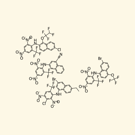 CCc1ccc2c(Nc3c(C(F)(F)F)cc([N+](=O)[O-])c(Cl)c3[N+](=O)[O-])cc(Br)cc2c1.N#Cc1cc(Nc2c([N+](=O)[O-])cc([N+](=O)[O-])cc2C(F)(F)F)cc2ccccc12.O=[N+]([O-])c1cc([N+](=O)[O-])c(Nc2ccc(OC(F)(F)F)c3ccc(Br)cc23)c(C(F)(F)F)c1.O=[N+]([O-])c1cc([N+](=O)[O-])c(Nc2ccc3cc(Cl)ccc3c2OC(F)(F)C(F)F)c(C(F)(F)F)c1